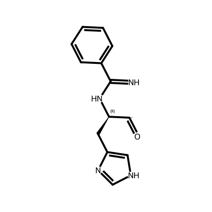 N=C(N[C@@H]([C]=O)Cc1c[nH]cn1)c1ccccc1